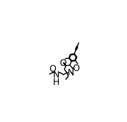 CC#Cc1cc(C)c(C2C(=O)CC(CC)(CCNC(C)=O)N(C)C2=O)c(C)c1